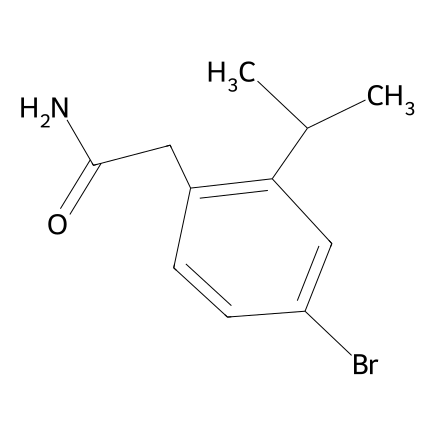 CC(C)c1cc(Br)ccc1CC(N)=O